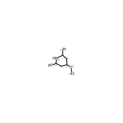 CCOC1CC(C(C)C)NC(C(C)C)C1